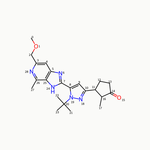 COCc1cc2nc(-c3cc(C4CCC(=O)C4C)nn3C(C)(C)C)[nH]c2c(C)n1